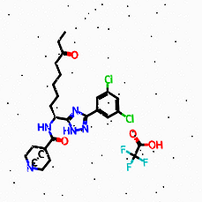 CCC(=O)CCCCC[C@H](NC(=O)C12CCN(CC1)CC2)c1nc(-c2cc(Cl)cc(Cl)c2)n[nH]1.O=C(O)C(F)(F)F